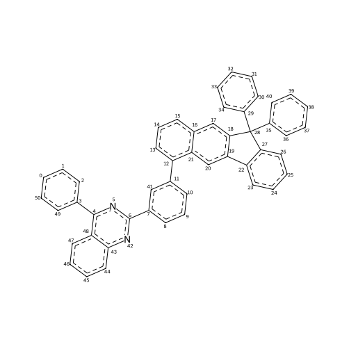 c1ccc(-c2nc(-c3cccc(-c4cccc5cc6c(cc45)-c4ccccc4C6(c4ccccc4)c4ccccc4)c3)nc3ccccc23)cc1